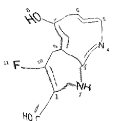 O=C(O)c1[nH]c2nccc(O)c2c1F